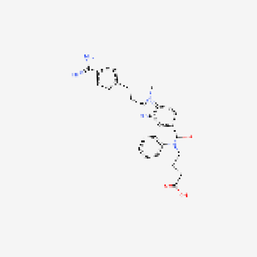 Cn1c(CCc2ccc(C(=N)N)cc2)nc2cc(C(=O)N(CCCC(=O)O)c3ccccc3)ccc21